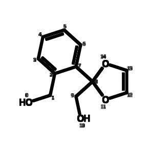 OCc1ccccc1C1(CO)OC=CO1